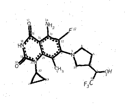 Cc1c(N2CCC(C(O)C(F)(F)F)C2)c(F)c(N)c2c(=O)[nH]c(=O)n(C3CC3)c12